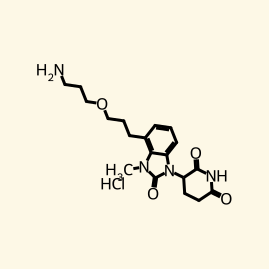 Cl.Cn1c(=O)n(C2CCC(=O)NC2=O)c2cccc(CCCOCCCN)c21